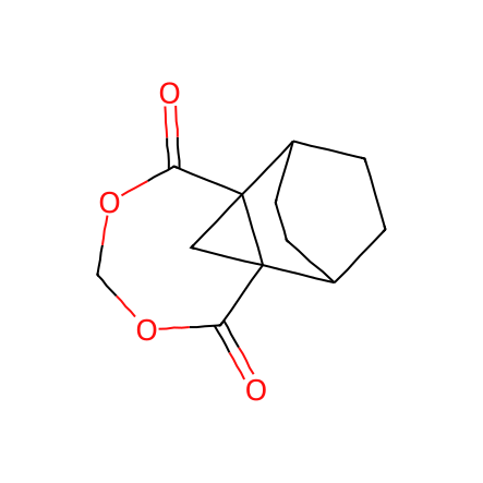 O=C1OCOC(=O)C23CC12C1CCC3CC1